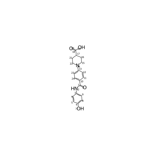 O=C(Nc1ccc(O)cc1)c1ccc(N2CCC(C(=O)O)CC2)cc1